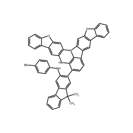 CC(C)(C)c1ccc(Nc2cc3c(cc2-c2ccc4c5cc6c(cc5n5c4c2Bc2cc4c(cc2-5)oc2ccccc24)sc2ccccc26)C(C)(C)c2ccccc2-3)cc1